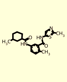 Cc1ncc(NC(=O)c2cc(NC(=O)C3CCCC(C)C3)ccc2C)s1